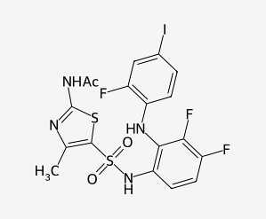 CC(=O)Nc1nc(C)c(S(=O)(=O)Nc2ccc(F)c(F)c2Nc2ccc(I)cc2F)s1